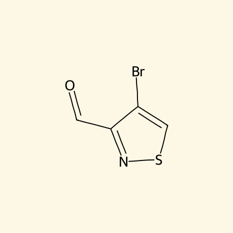 O=Cc1nscc1Br